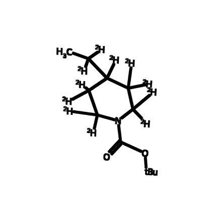 [2H]C([2H])(C)C1([2H])C([2H])([2H])C([2H])([2H])N(C(=O)OC(C)(C)C)C([2H])([2H])C1([2H])[2H]